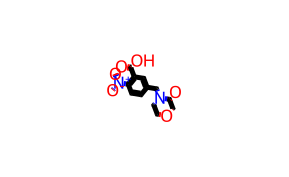 O=C(O)c1cc(CN2CCOCC2=O)ccc1[N+](=O)[O-]